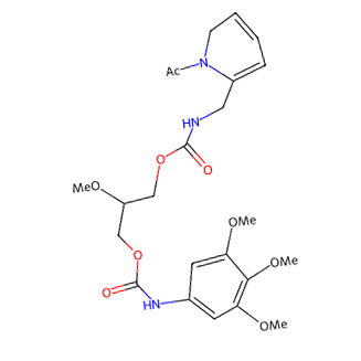 COc1cc(NC(=O)OCC(COC(=O)NCC2=CC=CCN2C(C)=O)OC)cc(OC)c1OC